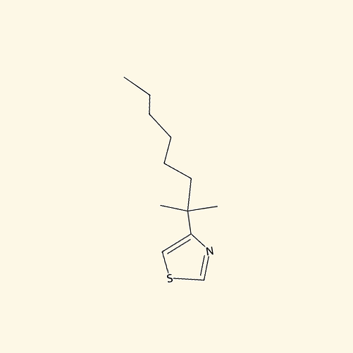 CCCCCCC(C)(C)c1cscn1